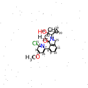 COc1cc(Cl)nc(-c2cccc3c2C(=O)N([C@H](C2CC2)C(C)(C)O)C3)c1